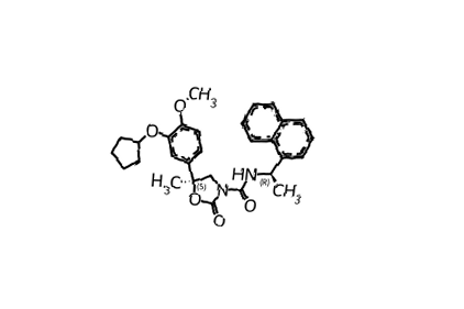 COc1ccc([C@@]2(C)CN(C(=O)N[C@H](C)c3cccc4ccccc34)C(=O)O2)cc1OC1CCCC1